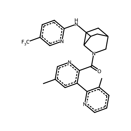 Cc1cnc(C(=O)N2CC3CCC2C(Nc2ccc(C(F)(F)F)cn2)C3)c(-c2ncccc2C)c1